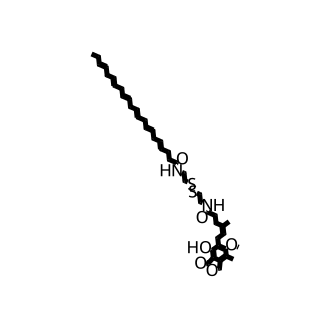 CCC=CCC=CCC=CCC=CCC=CCC=CCCC(=O)NCCSSCCNC(=O)CCC(C)=CCc1c(O)c2c(c(C)c1OC)COC2=O